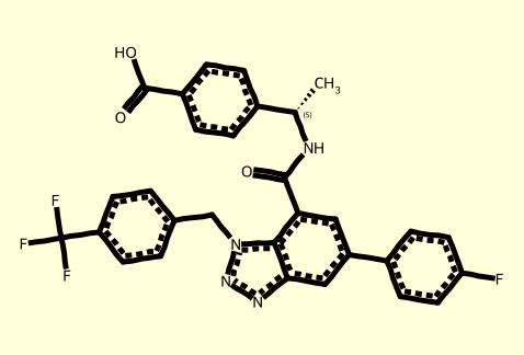 C[C@H](NC(=O)c1cc(-c2ccc(F)cc2)cc2nnn(Cc3ccc(C(F)(F)F)cc3)c12)c1ccc(C(=O)O)cc1